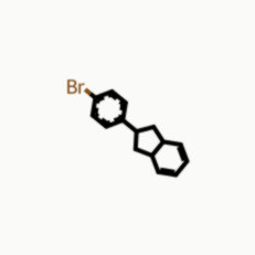 Brc1ccc(C2CC3C=CC=CC3C2)cc1